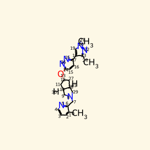 Cc1cccnc1CN1C[C@H]2C[C@H](Oc3ccc(-c4cn(C)nc4C)nn3)C[C@H]2C1